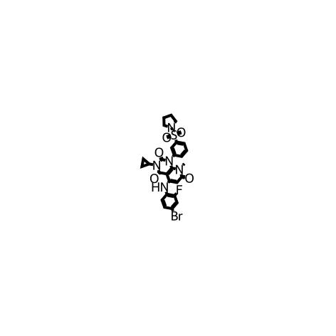 Cn1c(=O)cc(Nc2ccc(Br)cc2F)c2c(=O)n(C3CC3)c(=O)n(-c3cccc(S(=O)(=O)N4CCCC4)c3)c21